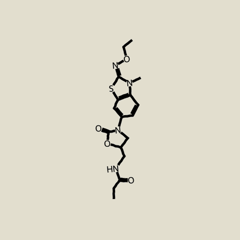 CCON=c1sc2cc(N3CC(CNC(=O)CC)OC3=O)ccc2n1C